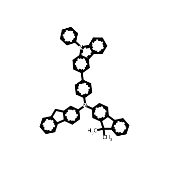 CC1(C)c2ccccc2-c2ccc(N(c3ccc(-c4ccc5c(c4)c4ccccc4n5-c4ccccc4)cc3)c3ccc4c(c3)Cc3ccccc3-4)cc21